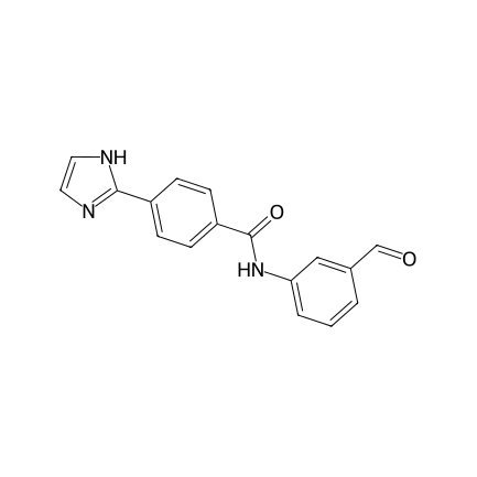 O=Cc1cccc(NC(=O)c2ccc(-c3ncc[nH]3)cc2)c1